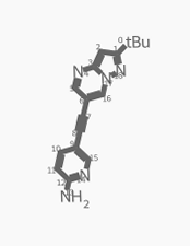 CC(C)(C)c1cc2ncc(C#Cc3ccc(N)nc3)cn2n1